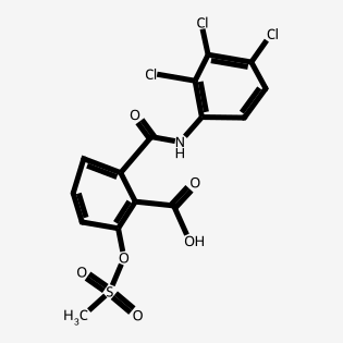 CS(=O)(=O)Oc1cccc(C(=O)Nc2ccc(Cl)c(Cl)c2Cl)c1C(=O)O